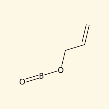 C=CCOB=O